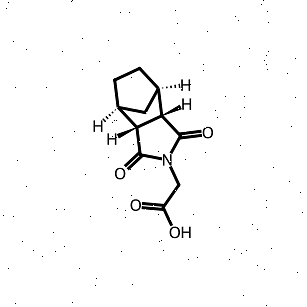 O=C(O)CN1C(=O)[C@@H]2[C@H]3CC[C@H](C3)[C@@H]2C1=O